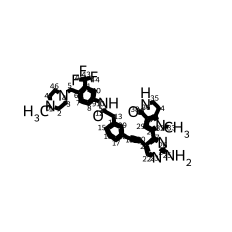 CN1CCN(Cc2ccc(NC(=O)Cc3cccc(C#Cc4cnc(N)nc4-c4cc5c(n4C)CCNC5=O)c3)cc2C(F)(F)F)CC1